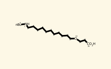 CCCCNCCCCCCCCCCCOCCC(=O)O